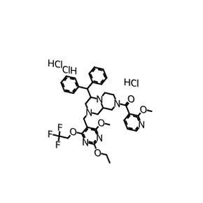 CCOc1nc(OC)c(CN2CC3CN(C(=O)c4cccnc4OC)CCN3C(C(c3ccccc3)c3ccccc3)C2)c(OCC(F)(F)F)n1.Cl.Cl.Cl